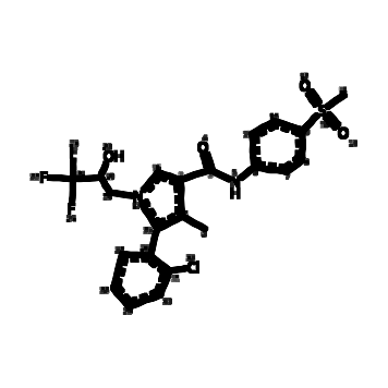 Cc1c(C(=O)Nc2ccc(S(C)(=O)=O)cc2)cn(CC(O)C(F)(F)F)c1-c1ccccc1Cl